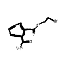 NC(=O)c1ccccc1C(=O)NCCBr